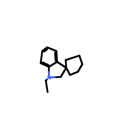 CCN1CC2(CCCCC2)c2ccccc21